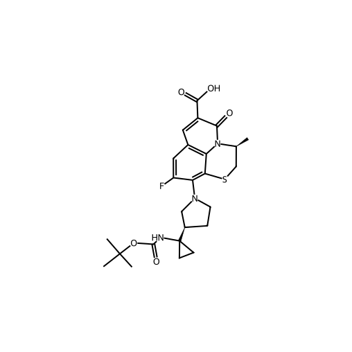 C[C@H]1CSc2c(N3CC[C@@H](C4(NC(=O)OC(C)(C)C)CC4)C3)c(F)cc3cc(C(=O)O)c(=O)n1c23